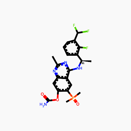 Cc1nc(N[C@H](C)c2cccc(C(F)F)c2F)c2cc(P(C)(C)=O)c(OC(N)=O)cc2n1